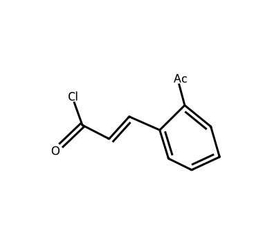 CC(=O)c1ccccc1C=CC(=O)Cl